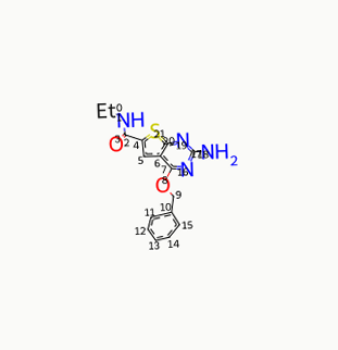 CCNC(=O)c1cc2c(OCc3ccccc3)nc(N)nc2s1